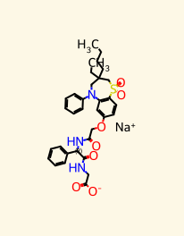 CCCCC1(CC)CN(c2ccccc2)c2cc(OCC(=O)N[C@@H](C(=O)NCC(=O)[O-])c3ccccc3)ccc2S(=O)(=O)C1.[Na+]